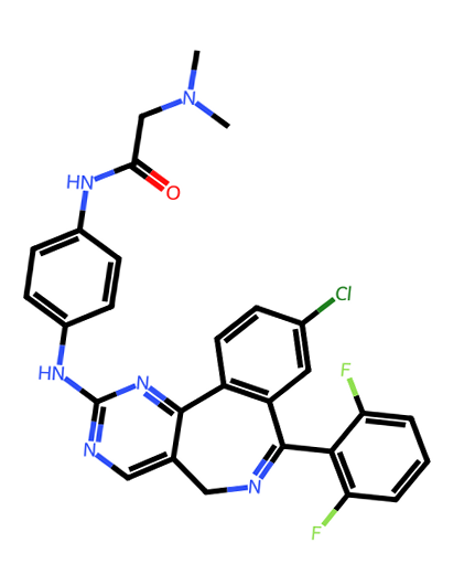 CN(C)CC(=O)Nc1ccc(Nc2ncc3c(n2)-c2ccc(Cl)cc2C(c2c(F)cccc2F)=NC3)cc1